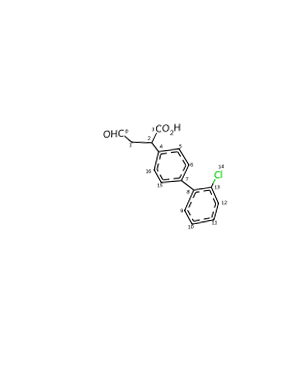 O=CCC(C(=O)O)c1ccc(-c2ccccc2Cl)cc1